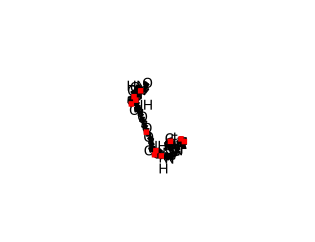 O=C1CCC(N2Cc3c(NC(=O)CCOCCCOCCOCCNC(=O)c4ccc(Nc5ncc6c(n5)-c5ccc(Cl)cc5C(c5c(F)cccc5F)=NC6)cc4)cccc3C2=O)C(=O)N1